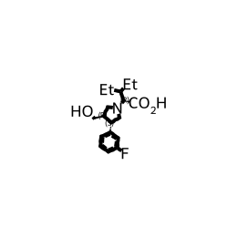 CCC(CC)[C@H](C(=O)O)N1C[C@H](CO)[C@@H](c2cccc(F)c2)C1